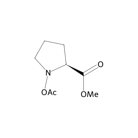 COC(=O)[C@@H]1CCCN1OC(C)=O